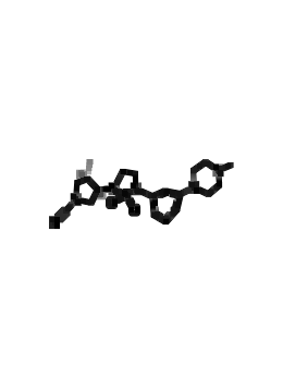 C[C@H]1CN(C#N)C[C@@H]1N1CCN(c2cccc(N3CCN(C)CC3)c2)S1(=O)=O